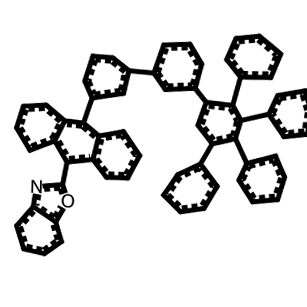 c1ccc(-c2cc(-c3cccc(-c4cccc(-c5c6ccccc6c(-c6nc7ccccc7o6)c6ccccc56)c4)c3)c(-c3ccccc3)c(-c3ccccc3)c2-c2ccccc2)cc1